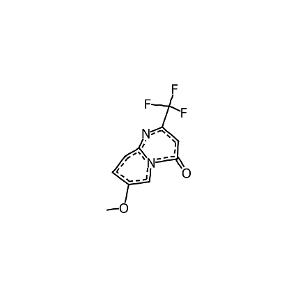 COc1ccc2nc(C(F)(F)F)cc(=O)n2c1